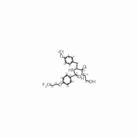 CCOc1ccc(CC(NC(=O)c2ccc(OCCC(F)(F)F)cc2)C(=O)NCCO)cc1